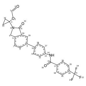 O=COC1(N2Cc3ccc(-c4ccc(NC(=O)c5ccc(C(F)(F)F)cc5)cc4)cc3C2=O)CC1